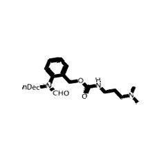 CCCCCCCCCCN(C=O)c1ccccc1COC(=O)NCCCN(C)C